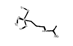 CCCCC(C)NCCC[Si](OCC)(OCC)OCC